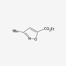 CCOC(=O)c1cc(C(C)(C)C)no1